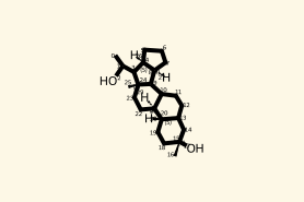 CC(O)C1[C@H]2CCC[C@H]2C2C3CCC4C[C@](C)(O)CC[C@@H]4[C@H]3CC[C@]12C